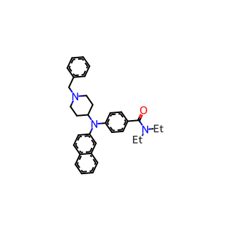 CCN(CC)C(=O)c1ccc(N(c2ccc3ccccc3c2)C2CCN(Cc3ccccc3)CC2)cc1